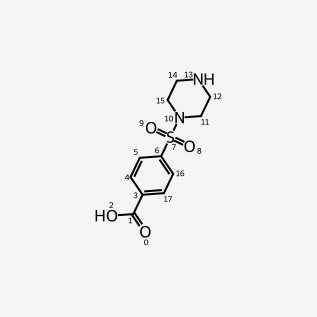 O=C(O)c1ccc(S(=O)(=O)N2CCNCC2)cc1